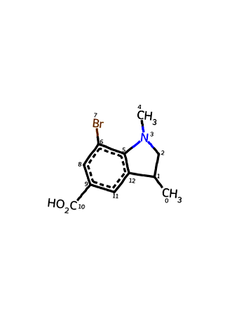 CC1CN(C)c2c(Br)cc(C(=O)O)cc21